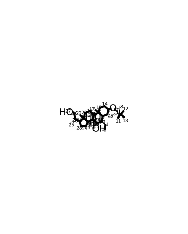 CC[C@@H]1C2CC(O[Si](C)(C)C(C)(C)C)CCC2(C)[C@H]2CCC3(C)C([C@H](C)CO)CC[C@H]3[C@@H]2[C@@H]1O